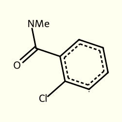 CNC(=O)c1ccc[c]c1Cl